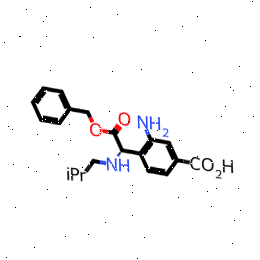 CC(C)CN[C@H](C(=O)OCc1ccccc1)c1ccc(C(=O)O)cc1N